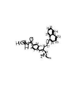 CN(C)CC(=Cc1ccc(C(=O)NO)cc1)CCOc1cccc2ccccc12